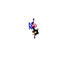 Ic1nnc(-c2ccc(I)s2)o1